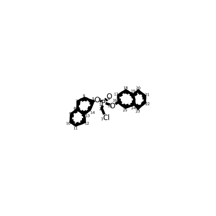 O=P(CCl)(Oc1ccc2ccccc2c1)Oc1ccc2ccccc2c1